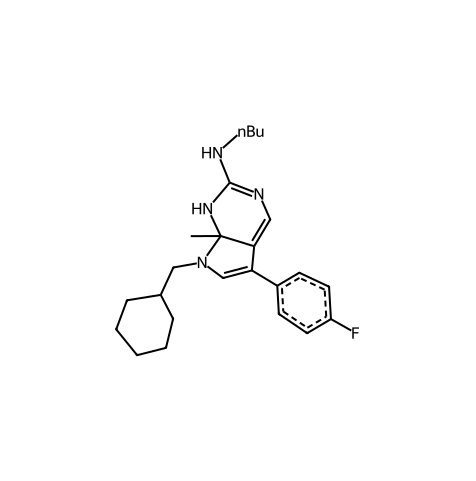 CCCCNC1=NC=C2C(c3ccc(F)cc3)=CN(CC3CCCCC3)C2(C)N1